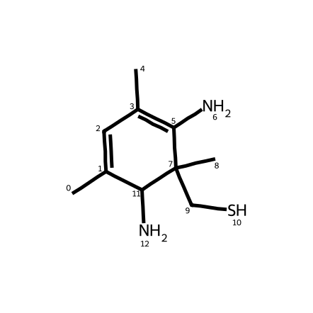 CC1=CC(C)=C(N)C(C)(CS)C1N